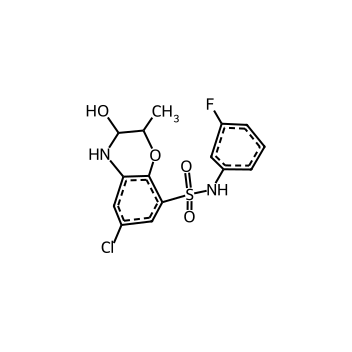 CC1Oc2c(cc(Cl)cc2S(=O)(=O)Nc2cccc(F)c2)NC1O